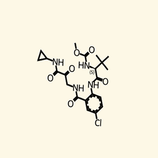 COC(=O)N[C@H](C(=O)Nc1ccc(Cl)cc1C(=O)NCC(=O)C(=O)NC1CC1)C(C)(C)C